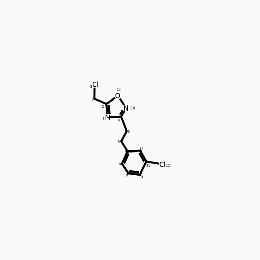 ClCc1nc(CCc2cccc(Cl)c2)no1